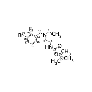 CCN(CCNC(=O)OC(C)(C)C)Cc1cccc(Br)c1F